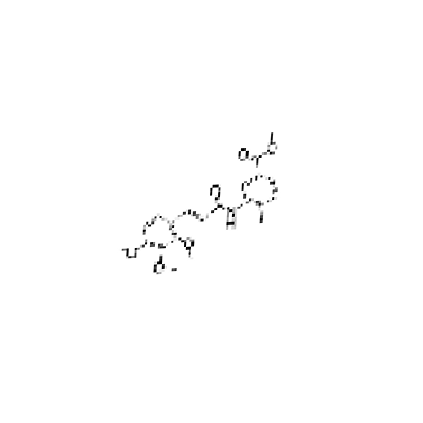 COC(=O)c1ccc(C)c(NC(=O)C=Cc2ccc(OC)c(OC)c2OC)c1